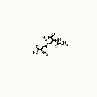 CC(=O)NC(CSSCC(N)C(=O)O)C(N)=O